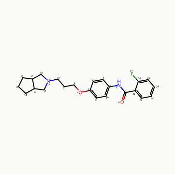 O=C(Nc1ccc(OCCCN2CC3CCCC3C2)cc1)c1ccccc1F